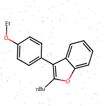 CCCCc1oc2ccccc2c1-c1ccc(OCC)cc1